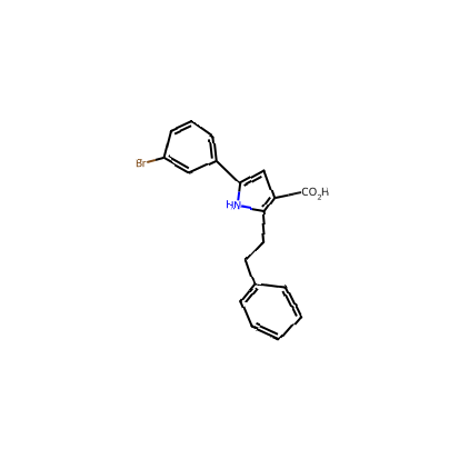 O=C(O)c1cc(-c2cccc(Br)c2)[nH]c1CCc1ccccc1